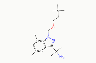 Cc1cc(C)c2c(c1)c(C(C)(C)N)nn2COCC[Si](C)(C)C